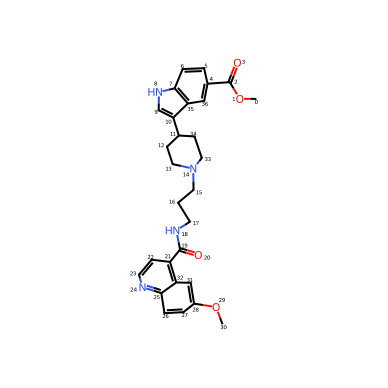 COC(=O)c1ccc2[nH]cc(C3CCN(CCCNC(=O)c4ccnc5ccc(OC)cc45)CC3)c2c1